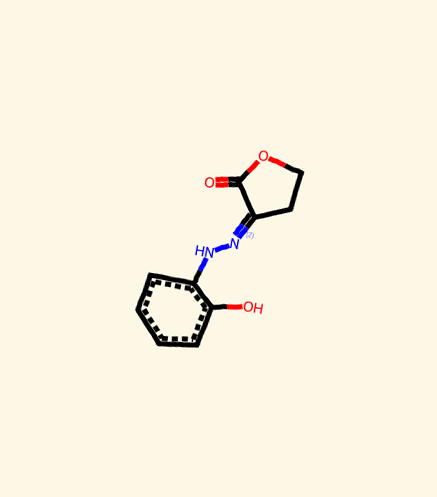 O=C1OCC/C1=N/Nc1ccccc1O